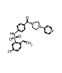 C=Cc1ccc(Cl)cc1S(=O)(=O)Nc1ccc(C(=O)N2CCN(c3ccncc3)CC2)cc1